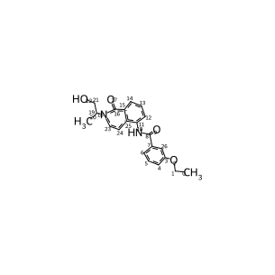 CCOc1cccc(C(=O)Nc2cccc3c(=O)n(C(C)CO)ccc23)c1